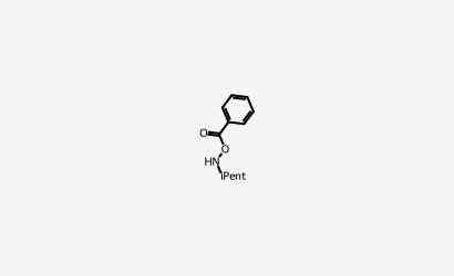 CCCC(C)NOC(=O)c1ccccc1